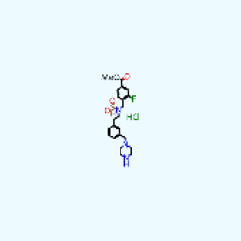 COC(=O)c1ccc(CN(CCc2cccc(CN3CCNCC3)c2)[SH](=O)=O)c(F)c1.Cl